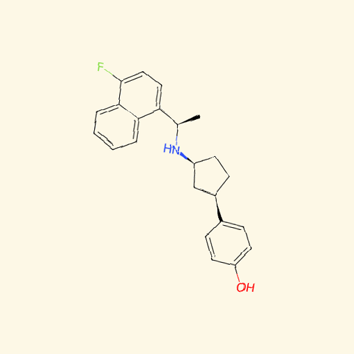 C[C@@H](N[C@H]1CC[C@@H](c2ccc(O)cc2)C1)c1ccc(F)c2ccccc12